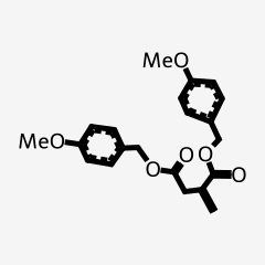 C=C(CC(=O)OCc1ccc(OC)cc1)C(=O)OCc1ccc(OC)cc1